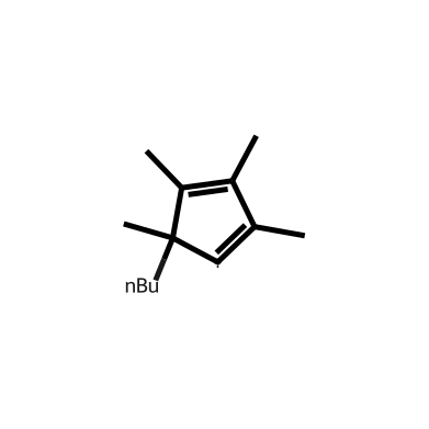 CCCCC1(C)[C]=C(C)C(C)=C1C